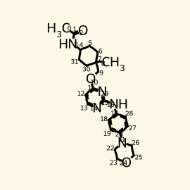 CC(=O)NC1CCC(C)(COc2ccnc(Nc3ccc(N4CCOCC4)cc3)n2)CC1